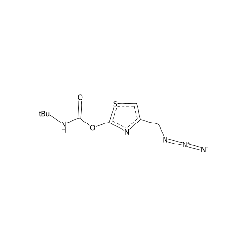 CC(C)(C)NC(=O)Oc1nc(CN=[N+]=[N-])cs1